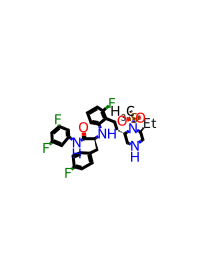 CC[C@H]1CNC[C@H](CCc2c(F)cccc2N[C@@H](Cc2ccc(F)cc2)C(=O)Nc2cc(F)cc(F)c2)N1S(C)(=O)=O